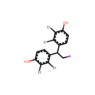 CCc1c(O)ccc(C(CI)c2ccc(O)c(CC)c2CC)c1CC